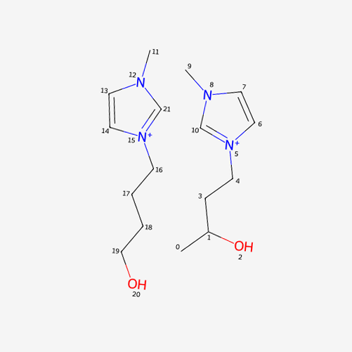 CC(O)CC[n+]1ccn(C)c1.Cn1cc[n+](CCCCO)c1